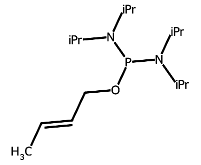 C/C=C/COP(N(C(C)C)C(C)C)N(C(C)C)C(C)C